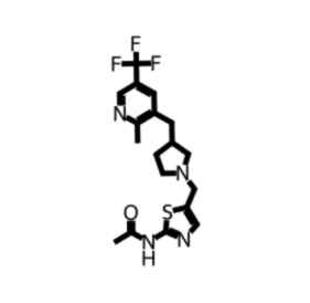 CC(=O)Nc1ncc(CN2CCC(Cc3cc(C(F)(F)F)cnc3C)C2)s1